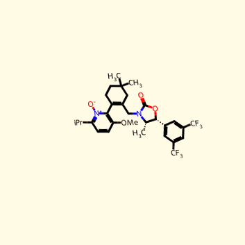 COc1ccc(C(C)C)[n+]([O-])c1C1=C(CN2C(=O)O[C@H](c3cc(C(F)(F)F)cc(C(F)(F)F)c3)[C@@H]2C)CC(C)(C)CC1